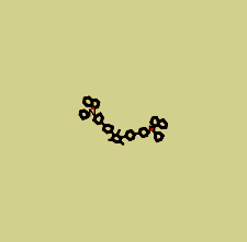 Cc1cc(C)c(-c2ccc(-c3ccc(N(c4ccccc4)c4cccc5ccccc45)cc3)cc2)c(C)c1-c1ccc(-c2ccc(N(c3ccccc3)c3cccc4ccccc34)cc2)cc1